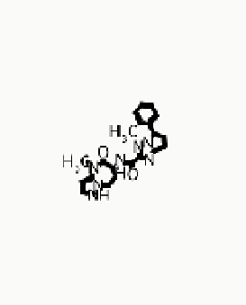 Cc1ccccc1C1CCc2nc(C(=O)N[C@H]3CCN4NCC=C4N(C)C3=O)nn21